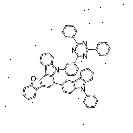 c1ccc(-c2nc(-c3ccccc3)nc(-c3cccc(-n4c5ccccc5c5c6oc7ccccc7c6cc(-c6ccc7c(c6)c6ccccc6n7-c6ccccc6)c54)c3)n2)cc1